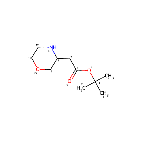 CC(C)(C)OC(=O)CC1COCCN1